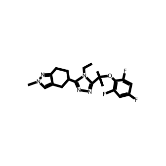 CCn1c(C2CCc3nn(C)cc3C2)nnc1C(C)(C)Oc1c(F)cc(F)cc1F